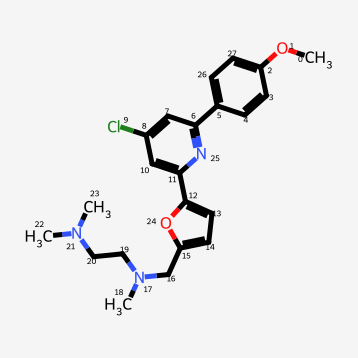 COc1ccc(-c2cc(Cl)cc(-c3ccc(CN(C)CCN(C)C)o3)n2)cc1